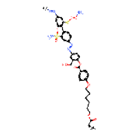 C=CC(=O)OCCCCCCOc1ccc(C(=O)Oc2ccc(N=Nc3ccc(-c4ccc(N=NC)cc4SOON)c(S(N)(=O)=O)c3)cc2CO)cc1